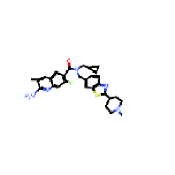 Cc1cc2cc(C(=O)N(Cc3ccc4nc(C5CCN(C)CC5)sc4c3)CC3CC3)c(F)cc2nc1N